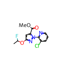 COC(=O)c1cc(OC(C)F)nn1-c1ncccc1Cl